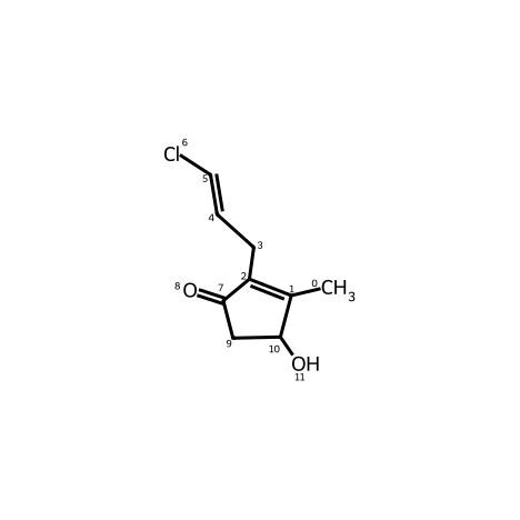 CC1=C(CC=CCl)C(=O)CC1O